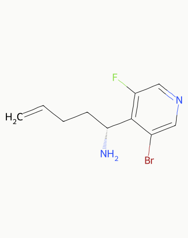 C=CCC[C@@H](N)c1c(F)cncc1Br